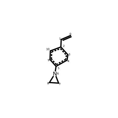 C=Cc1ccc(N2CC2)cc1